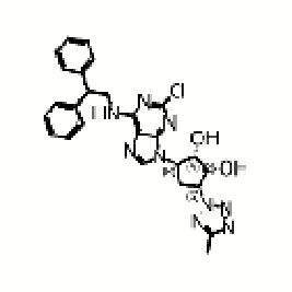 Cc1nnn([C@H]2C[C@@H](n3cnc4c(NCC(c5ccccc5)c5ccccc5)nc(Cl)nc43)[C@H](O)[C@@H]2O)n1